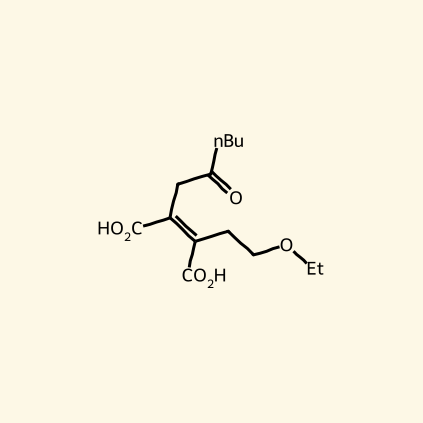 CCCCC(=O)CC(C(=O)O)=C(CCOCC)C(=O)O